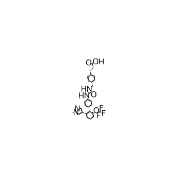 Cn1cc(-c2cccc(OC(F)(F)F)c2-c2ccc(NC(=O)NCc3ccc(CCC(=O)O)cc3)cc2)cn1